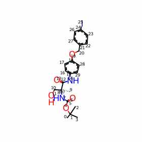 CC(C)(C)OC(=O)N[C@@](C)(CO)C(=O)Nc1ccc(OCc2ccc(I)cc2)cc1